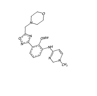 COc1c(NC2=NCN(C)C=C2)cccc1-c1noc(CN2CCOCC2)n1